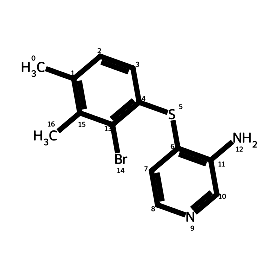 Cc1ccc(Sc2ccncc2N)c(Br)c1C